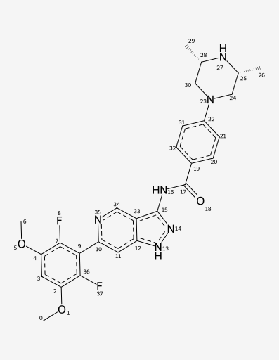 COc1cc(OC)c(F)c(-c2cc3[nH]nc(NC(=O)c4ccc(N5C[C@@H](C)N[C@@H](C)C5)cc4)c3cn2)c1F